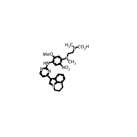 COc1cc(N(C)CCN(C)C(=O)O)c([N+](=O)[O-])cc1Nc1nccc(-c2cn3c4c(cccc24)CCC3)n1